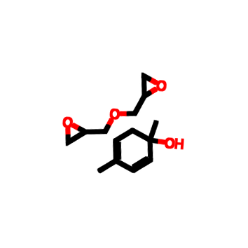 C(OCC1CO1)C1CO1.CC1=CCC(C)(O)C=C1